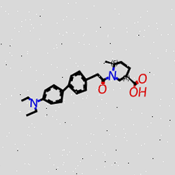 CCN(CC)c1ccc(-c2ccc(CC(=O)N3C[C@H](C(=O)O)CC[C@@H]3C)cc2)cc1